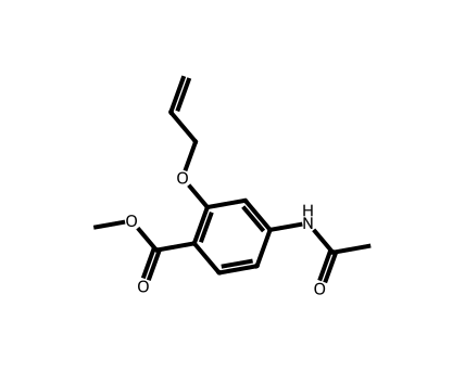 C=CCOc1cc(NC(C)=O)ccc1C(=O)OC